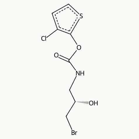 O=C(NC[C@H](O)CBr)Oc1sccc1Cl